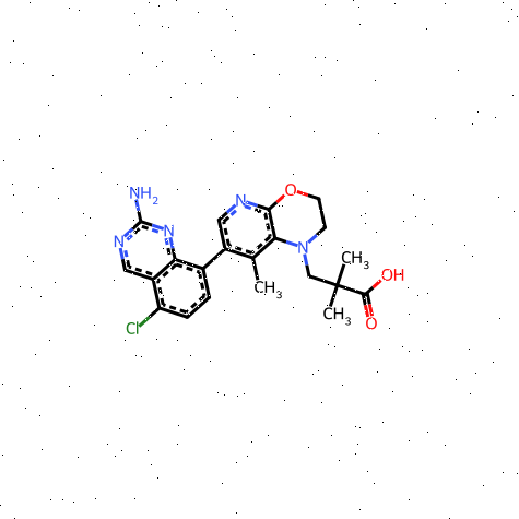 Cc1c(-c2ccc(Cl)c3cnc(N)nc23)cnc2c1N(CC(C)(C)C(=O)O)CCO2